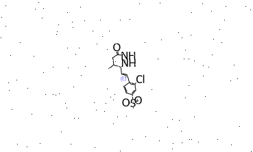 CC1CC(=O)NNC1/C=C/c1ccc(S(C)(=O)=O)cc1Cl